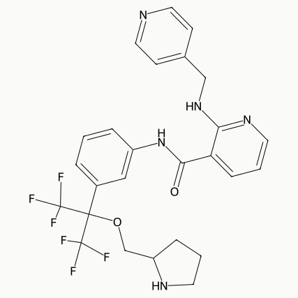 O=C(Nc1cccc(C(OCC2CCCN2)(C(F)(F)F)C(F)(F)F)c1)c1cccnc1NCc1ccncc1